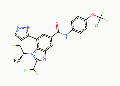 C[C@@H](CF)n1c(C(F)F)nc2cc(C(=O)Nc3ccc(OC(F)(F)Cl)cc3)cc(-c3ccn[nH]3)c21